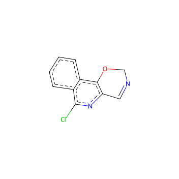 Clc1nc2c(c3ccccc13)OCN=C2